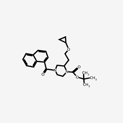 CC(C)(C)OC(=O)N1CCN(C(=O)c2cccc3ccccc23)CC1CCOC1CC1